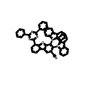 N#Cc1cc2c(oc3c(-c4nc(-c5ccccc5)nc(-c5ccccc5)n4)cccc32)c(-n2c3ccccc3c3ccccc32)c1-n1c2ccccc2c2ccccc21